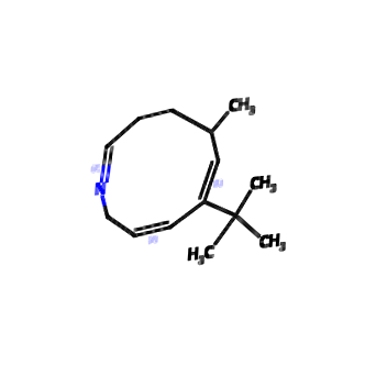 CC1/C=C(C(C)(C)C)\C=C/C/N=C\CC1